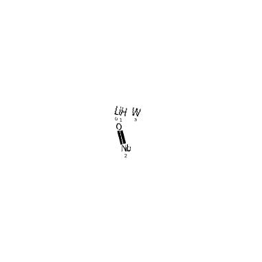 [LiH].[O]=[Nb].[W]